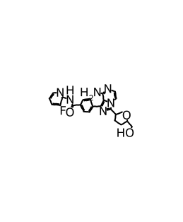 Nc1nccn2c(C3CCC(CO)OC3)nc(-c3ccc(C(=O)Nc4ncccc4F)cc3)c12